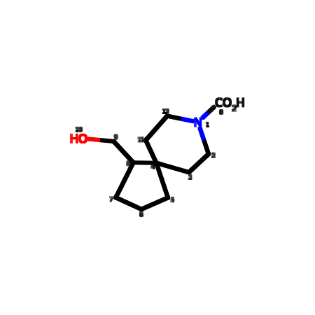 O=C(O)N1CCC2(CCCC2CO)CC1